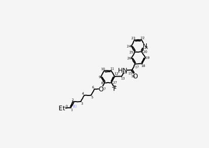 CC/C=C/CCCCOc1cccc(CNC(=O)c2ccc3ncccc3c2)c1F